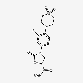 CNC(=O)[C@H]1CN(c2ccc(C3CCS(=O)(=O)CC3)c(F)c2)C(=O)O1